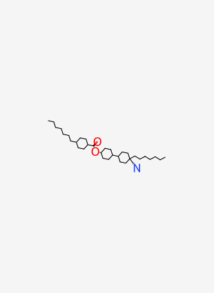 CCCCCCCC1CCC(C(=O)OC2CCC(C3CCC(C#N)(CCCCCCC)CC3)CC2)CC1